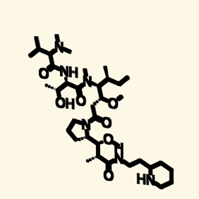 CC[C@H](C)[C@@H]([C@@H](CC(=O)N1CCC[C@H]1[C@H](OC)[C@@H](C)C(=O)NCCC1CCCCN1)OC)N(C)C(=O)[C@@H](NC(=O)C(C(C)C)N(C)C)[C@@H](C)O